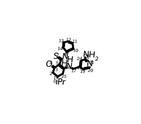 CC(C)C1CC(=O)C(C(=S)Nc2ccccc2)=C(NCc2ccnc(N)c2)C1